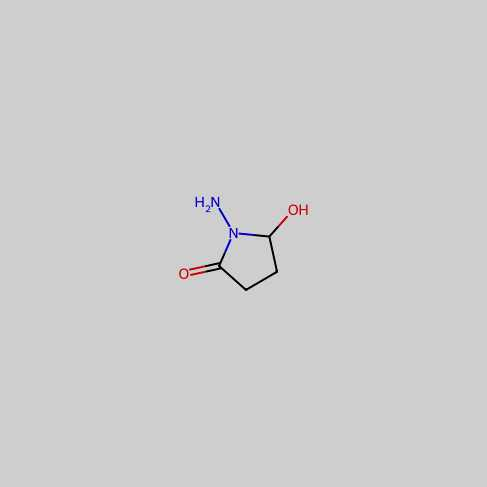 NN1C(=O)CCC1O